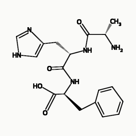 C[C@H](N)C(=O)N[C@@H](Cc1c[nH]cn1)C(=O)N[C@@H](Cc1ccccc1)C(=O)O